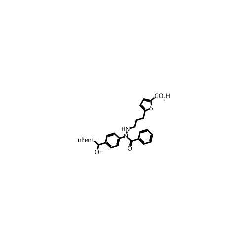 CCCCCC(O)c1ccc(N(NCCCc2ccc(C(=O)O)s2)C(=O)c2ccccc2)cc1